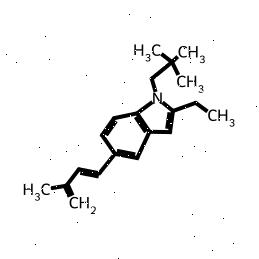 C=C(C)/C=C/c1ccc2c(c1)cc(CC)n2CC(C)(C)C